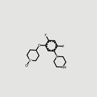 [O-][S+]1CCC(Oc2cc(N3CCNCC3)c(F)cc2F)CC1